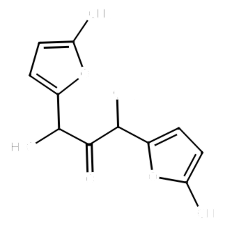 Cc1ccc(C(C)C(=O)C(C)c2ccc(C)o2)o1